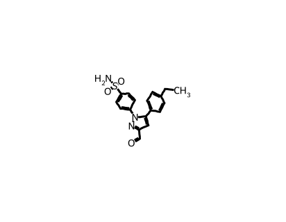 CCc1ccc(-c2cc(C=O)nn2-c2ccc(S(N)(=O)=O)cc2)cc1